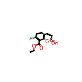 CCOC(=O)c1c(F)ccc2c1OB(O)C=C2